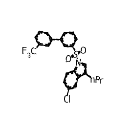 CCCc1cn(S(=O)(=O)c2cccc(-c3cccc(C(F)(F)F)c3)c2)c2ccc(Cl)cc12